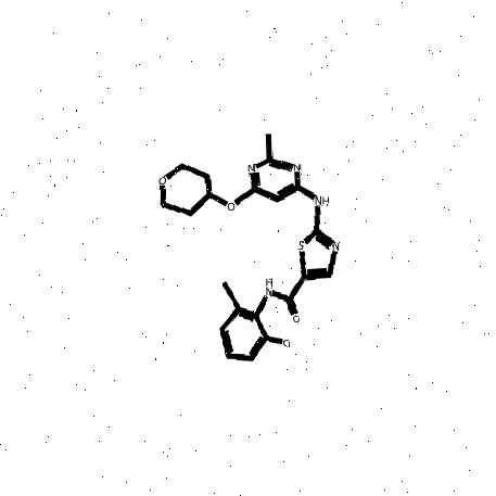 Cc1nc(Nc2ncc(C(=O)Nc3c(C)cccc3Cl)s2)cc(OC2CCOCC2)n1